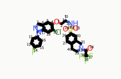 C[C@@H](COc1cc2cnn(-c3ccc(F)cc3)c2cc1Cl)NS(=O)(=O)c1ccc2c(c1)CN(C(=O)C(F)(F)F)CC2